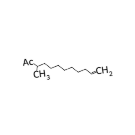 C=CCCCCCCCC(C)C(C)=O